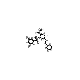 O=C(Nc1cc(C=Cc2ccccc2)ccc1C(=O)O)c1cc(F)cc(F)c1